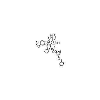 O=C(O)N[C@@H](Cc1ccc(OCc2ccccc2)cc1)[C@@H](O)C([C@@H]1CO[C@H]2OCC[C@H]21)N(CC1CCCC1)S(=O)(=O)c1ccc2c(c1)OCO2